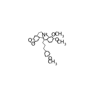 COc1ccc(CCCc2c3[n+](cc4c(OC)c(OC)ccc24)CCc2cc4c(cc2-3)OCO4)cc1